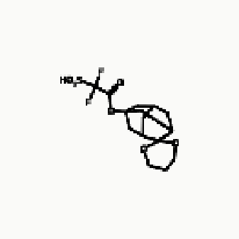 O=C(OC12CC3CC(C1)C1(OCCCO1)C(C3)C2)C(F)(F)S(=O)(=O)O